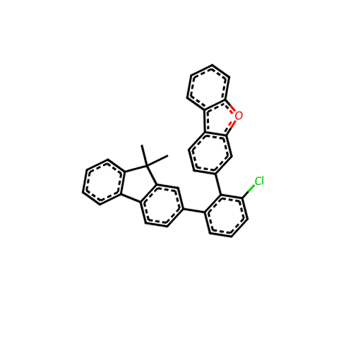 CC1(C)c2ccccc2-c2ccc(-c3cccc(Cl)c3-c3ccc4c(c3)oc3ccccc34)cc21